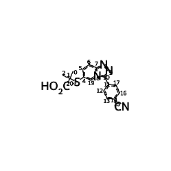 CC(C)(Sc1ccc2nnc(-c3ccc(C#N)cc3)n2c1)C(=O)O